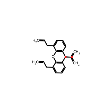 C=CCc1cccc(CC=C)c1Oc1c(CC=C)cccc1CC=C